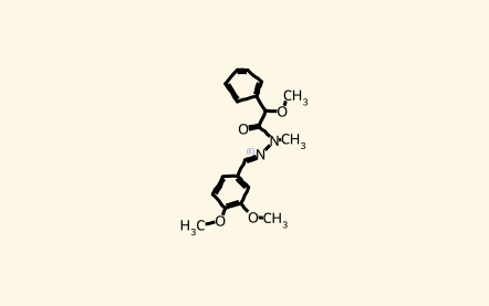 COc1ccc(/C=N/N(C)C(=O)C(OC)c2ccccc2)cc1OC